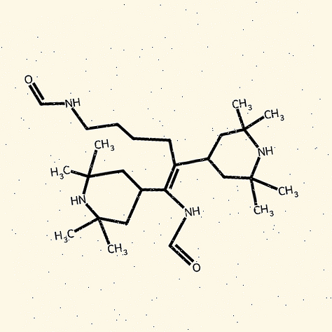 CC1(C)CC(C(CCCCNC=O)=C(NC=O)C2CC(C)(C)NC(C)(C)C2)CC(C)(C)N1